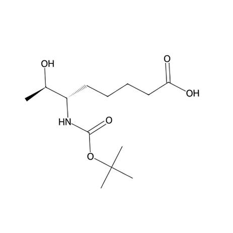 C[C@@H](O)[C@H](CCCCC(=O)O)NC(=O)OC(C)(C)C